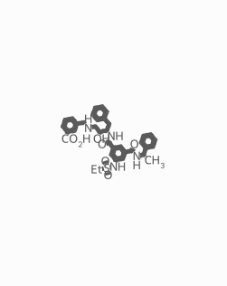 CCS(=O)(=O)Nc1cc(C(=O)NC(Cc2ccccc2)C(O)CNCc2cccc(C(=O)O)c2)cc(C(=O)N[C@H](C)c2ccccc2)c1